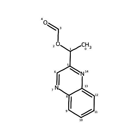 CC(OC=O)c1cnc2ccccc2n1